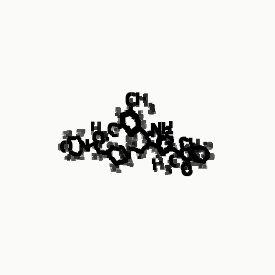 Cc1cc(C)cc(C2Nc3sc(C(C)(C)C(=O)N4C5CCC4CC5)cc3C2CCN2CCC(CC(=O)N3CCOCC3)C2)c1